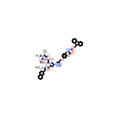 COC(=O)[C@H](Cc1ccc(OC/C(=C/N[C@H]2C[C@@H](C(=O)N[C@@H](Cc3ccc4ccccc4c3)C(=O)O)N(C(=O)[C@H](O)NC(=O)[C@H](C)N(C)C(=O)OC(C)(C)C)C2)N=N)cc1)NC(=O)OCC1c2ccccc2-c2ccccc21